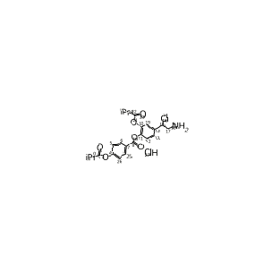 CC(C)C(=O)Oc1ccc(C(=O)Oc2ccc(C(Cl)CN)cc2OC(=O)C(C)C)cc1.Cl